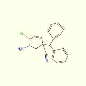 N#CC1(C(c2ccccc2)c2ccccc2)C=CC(Cl)=C(N)C1